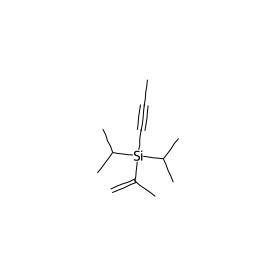 C=C(C)[Si](C#CC)(C(C)C)C(C)C